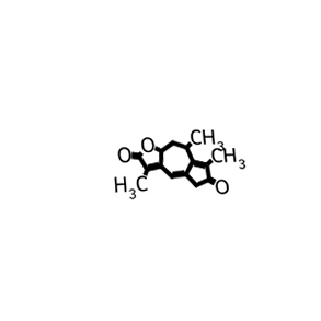 CC1=C2C(=CC3=C(C)C(=O)OC3CC2C)CC1=O